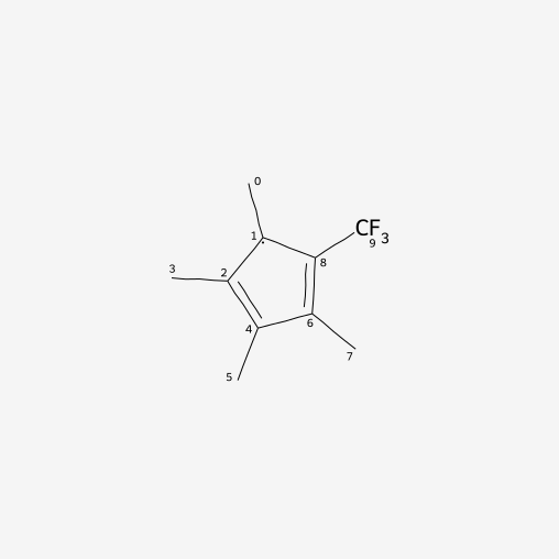 C[C]1C(C)=C(C)C(C)=C1C(F)(F)F